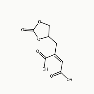 O=C(O)C=C(CC1COC(=O)O1)C(=O)O